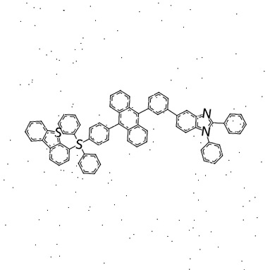 c1ccc(-c2nc3cc(-c4cccc(-c5c6ccccc6c(-c6ccc(S(c7ccccc7)(c7ccccc7)c7cccc8c7sc7ccccc78)cc6)c6ccccc56)c4)ccc3n2-c2ccccc2)cc1